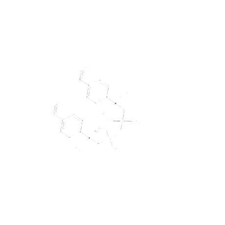 C=Cc1ccc(C(C)(C)C[Si](C)(C)O[Si](C)(C)CC(C)(C)c2ccc(C=C)cc2)cc1